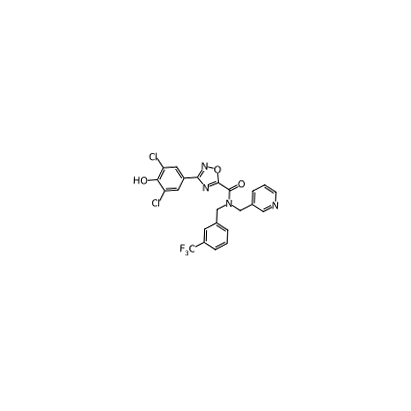 O=C(c1nc(-c2cc(Cl)c(O)c(Cl)c2)no1)N(Cc1cccnc1)Cc1cccc(C(F)(F)F)c1